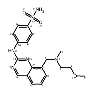 COCCN(C)Cc1cccc2cnc(Nc3ccc(S(N)(=O)=O)cc3)nc12